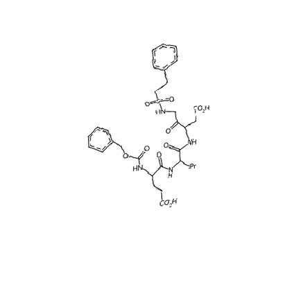 CC(C)C(NC(=O)C(CCC(=O)O)NC(=O)OCc1ccccc1)C(=O)NC(CC(=O)O)C(=O)CNS(=O)(=O)CCc1ccccc1